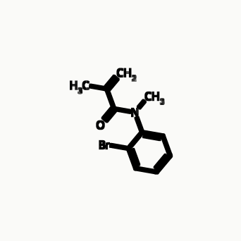 C=C(C)C(=O)N(C)c1ccccc1Br